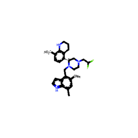 COc1cc(C)c2[nH]ccc2c1CN1CCN(CC(F)F)C[C@H]1c1ccc(C(=O)O)c2c1CCCN2